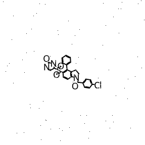 O=C1N=CC(S(=O)(=O)c2ccc3c(c2-c2ccccc2)CCN3C(=O)c2ccc(Cl)cc2)=N1